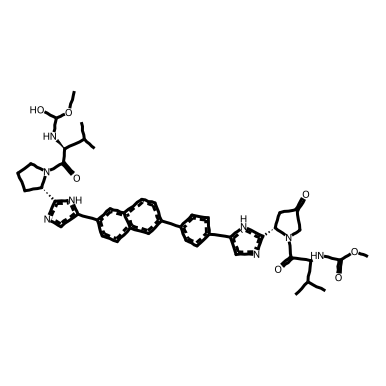 COC(=O)N[C@H](C(=O)N1CC(=O)C[C@H]1c1ncc(-c2ccc(-c3ccc4cc(-c5cnc([C@@H]6CCCN6C(=O)[C@@H](NC(O)OC)C(C)C)[nH]5)ccc4c3)cc2)[nH]1)C(C)C